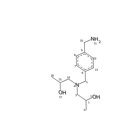 CC(O)CN(Cc1ccc(CN)cc1)CC(C)O